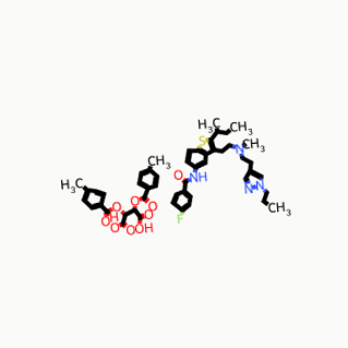 CCCn1cc(CCN(C)CCc2c(C(C)CC)sc3ccc(NC(=O)c4ccc(F)cc4)cc23)cn1.Cc1ccc(C(=O)OC(C(=O)O)C(OC(=O)c2ccc(C)cc2)C(=O)O)cc1